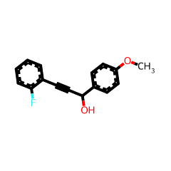 COc1ccc(C(O)C#Cc2ccccc2F)cc1